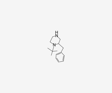 CC(C)(C)N1CCNCC1Cc1ccccc1